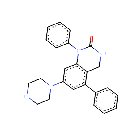 O=C1NCc2c(-c3ccccc3)cc(N3CCNCC3)cc2N1c1ccccc1